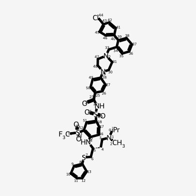 CC(C)N(C)CC[C@H](CSc1ccccc1)Nc1ccc(S(=O)(=O)NC(=O)c2ccc(N3CCN(Cc4ccccc4-c4ccc(Cl)cc4)CC3)cc2)cc1S(=O)(=O)C(F)(F)F